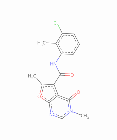 Cc1oc2ncn(C)c(=O)c2c1C(=O)Nc1cccc(Cl)c1C